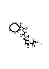 CC[C@H](C(N)=O)N1CC(CNC(=O)CSC(=O)NC2CCCCCCCCCC2)CC1=O